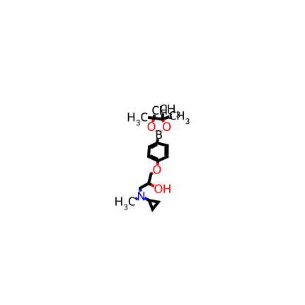 CN(CC(O)COc1ccc(B2OC(C)(C)C(C)(C)O2)cc1)C1CC1